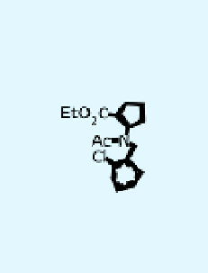 CCOC(=O)C1=C(N(Cc2ccccc2Cl)C(C)=O)CCC1